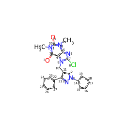 Cn1c(=O)c2c(nc(Cl)n2Cc2cn(-c3ccccc3)nc2-c2ccccc2)n(C)c1=O